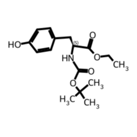 CCOC(=O)[C@H](Cc1ccc(O)cc1)NC(=O)OC(C)(C)C